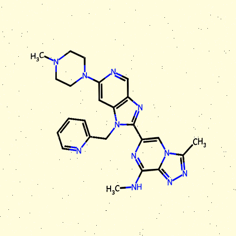 CNc1nc(-c2nc3cnc(N4CCN(C)CC4)cc3n2Cc2ccccn2)cn2c(C)nnc12